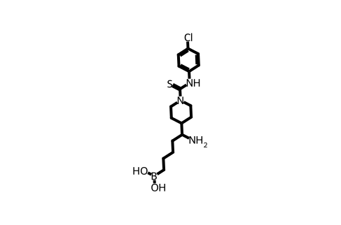 NC(CCCCB(O)O)C1CCN(C(=S)Nc2ccc(Cl)cc2)CC1